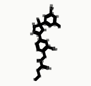 CCCC(=O)NCc1ccc(C2=NOC(C)(c3cc(C)cc(Br)c3)C2)cc1Cl